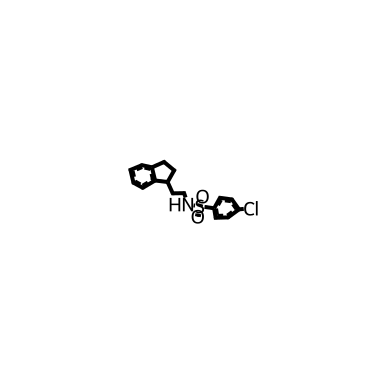 O=S(=O)(NCCC1CCc2ccccc21)c1ccc(Cl)cc1